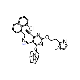 C#Cc1nc(OCCc2nccn2C)nc(N2CC3CCC(C2)N3)c1/C=N\Cc1cccc2cccc(Cl)c12